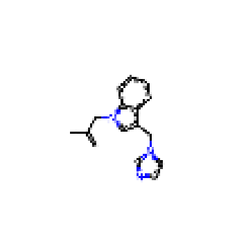 C=C(C)Cn1cc(Cn2ccnc2)c2ccccc21